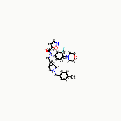 CCc1ccc(CN2CC3C(C2)C3CN(C(=O)c2ccno2)c2ccc(N3CCOCC3)c(F)c2)cc1